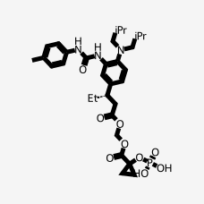 CC[C@@H](CC(=O)OCOC(=O)C1(OP(=O)(O)O)CC1)c1ccc(N(CC(C)C)CC(C)C)c(NC(=O)Nc2ccc(C)cc2)c1